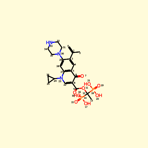 C=C(C)c1cc2c(=O)c(C(=O)OC(C)(P(=O)(O)O)P(=O)(O)O)cn(C3CC3)c2cc1N1CCNCC1